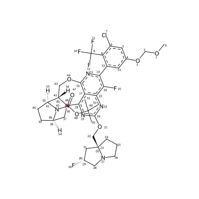 COCOc1cc(Cl)c(C(F)(F)F)c(-c2nc3c4c(nc(OC[C@@]56CCCN5C[C@H](F)C6)nc4c2F)N2C[C@H]4CC[C@@H]([C@@H]2CO3)N4C(=O)OC(C)(C)C)c1